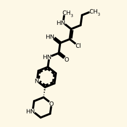 CCC/C(NC)=C(\Cl)C(=N)C(=O)Nc1ccc([C@H]2CNCCO2)nc1